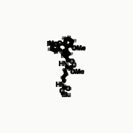 COC(=O)[C@H](CCCCNC(=O)OC(C)(C)C)NC(=O)c1cc(-c2c(OC)cccc2OC)n(-c2ccc(F)cc2)n1